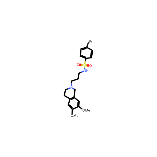 COc1cc2c(cc1OC)CN(CCCNS(=O)(=O)c1ccc(C(C)C)cc1)CC2